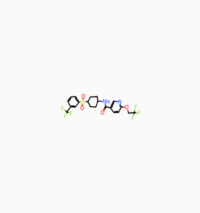 O=C(NC1CCC(S(=O)(=O)c2cccc(C(F)(F)F)c2)CC1)c1ccc(OCC(F)(F)F)nc1